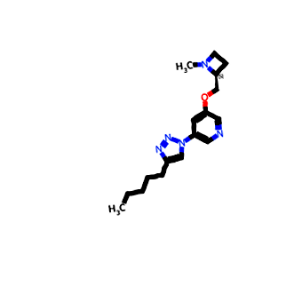 CCCCCc1cn(-c2cncc(OC[C@@H]3CCN3C)c2)nn1